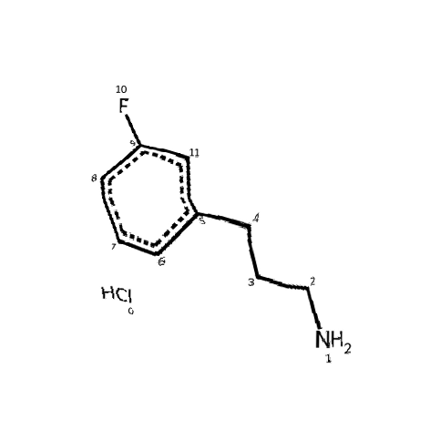 Cl.NCCCc1cccc(F)c1